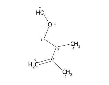 C=C(C)C(C)COO